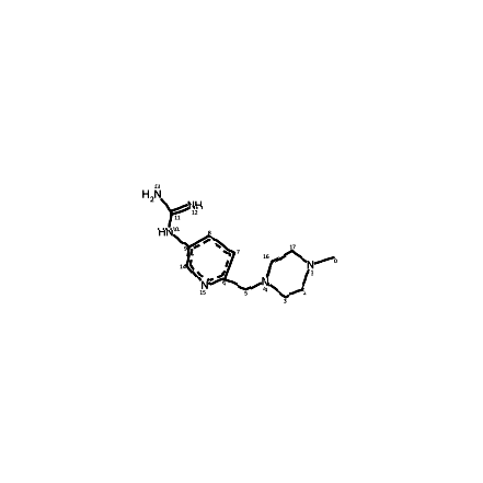 CN1CCN(Cc2ccc(NC(=N)N)cn2)CC1